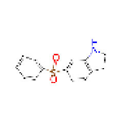 O=S(=O)(c1ccccc1)c1ccc2c(c1)NCC2